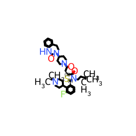 CC(C)N1CCC(c2c(F)cccc2[C@H]2S[C@@H](CC(=O)N3CCC(N4CCc5ccccc5NC4=O)CC3)C(=O)N2CCC(C)(C)C)CC1